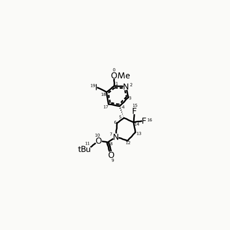 COc1ncc([C@H]2CN(C(=O)OC(C)(C)C)CCC2(F)F)cc1I